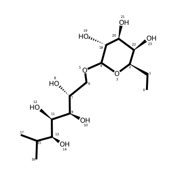 CC[C@H]1OC(OC[C@@H](O)[C@@H](O)[C@H](O)[C@@H](O)C(C)C)[C@H](O)[C@@H](O)[C@H]1O